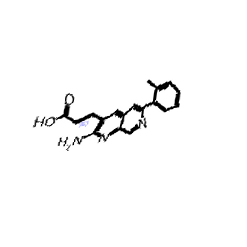 Cc1ccccc1-c1cc2cc(/C=C/C(=O)O)c(N)nc2cn1